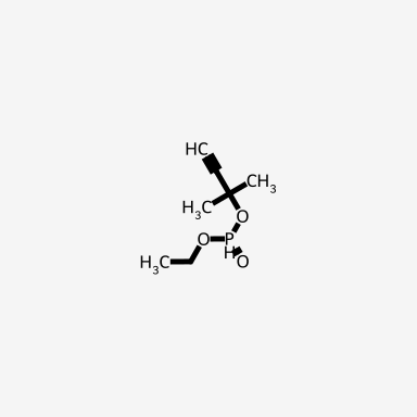 C#CC(C)(C)O[PH](=O)OCC